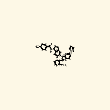 Nc1ncccc1-c1nc2ccc(-n3cccn3)nc2n1-c1ccc2c(c1)CC[C@@H]2NC(=O)c1ccc(O)cc1